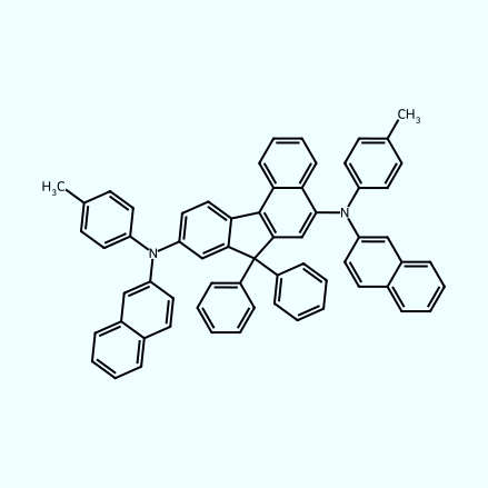 Cc1ccc(N(c2ccc3c(c2)C(c2ccccc2)(c2ccccc2)c2cc(N(c4ccc(C)cc4)c4ccc5ccccc5c4)c4ccccc4c2-3)c2ccc3ccccc3c2)cc1